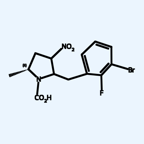 C[C@@H]1CC([N+](=O)[O-])C(Cc2cccc(Br)c2F)N1C(=O)O